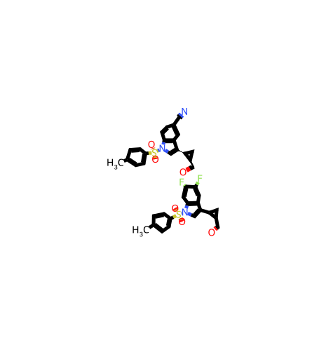 Cc1ccc(S(=O)(=O)n2cc(C3CC3C=O)c3cc(F)c(F)cc32)cc1.Cc1ccc(S(=O)(=O)n2cc([C@@H]3C[C@H]3C=O)c3cc(C#N)ccc32)cc1